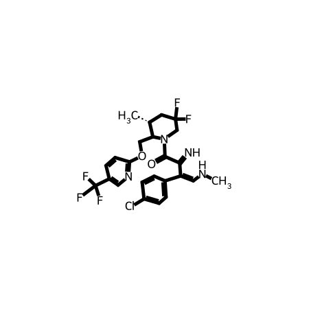 CN/C=C(\C(=N)C(=O)N1CC(F)(F)C[C@@H](C)C1COc1ccc(C(F)(F)F)cn1)c1ccc(Cl)cc1